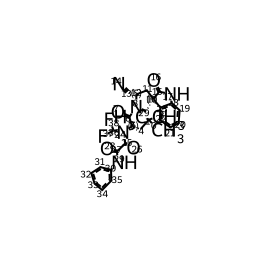 CC(C)(C)C[C@@H](C(=O)N1C[C@]2(C[C@H]1C#N)C(=O)Nc1ccccc12)N(C(=O)C(=O)Nc1ccccc1)C(F)F